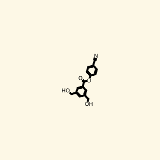 N#Cc1ccc(OC(=O)c2cc(CO)cc(CO)c2)cc1